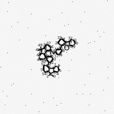 CC1(C)c2ccccc2-c2c(-c3ccc(N(c4cccc(-c5cccc6c5oc5ccccc56)c4)c4cccc5c4-c4ccccc4C5(C)C)cc3)cccc21